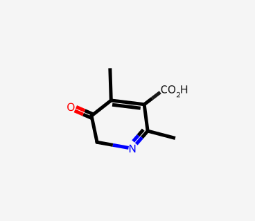 CC1=NCC(=O)C(C)=C1C(=O)O